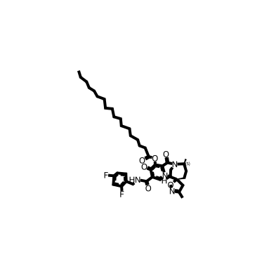 CCCCCCCCCCCCCCCCCC(=O)Oc1c2n(cc(C(=O)NCc3ccc(F)cc3F)c1=O)[C@@H]1CN(C2=O)[C@@H](C)CC[C@]12CC(C)=NO2